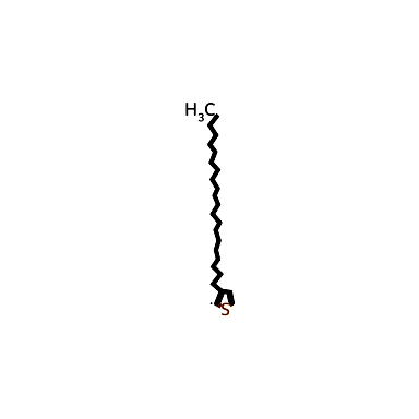 CCCCCCCCCCCCCCCCCCCCCc1[c]scc1